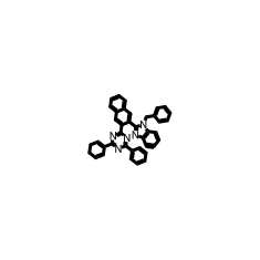 c1ccc2c(c#1)nc(-c1cc3ccccc3cc1-c1nc(C3=CCCC=C3)nc(-c3ccccc3)n1)n2Cc1ccccc1